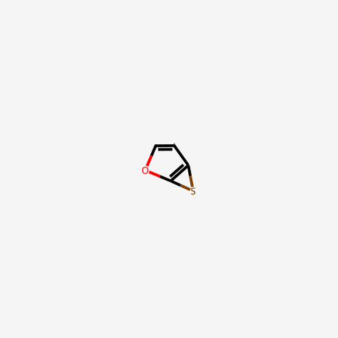 [c]1coc2c1S2